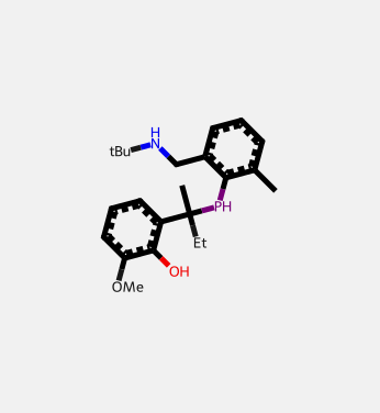 CCC(C)(Pc1c(C)cccc1CNC(C)(C)C)c1cccc(OC)c1O